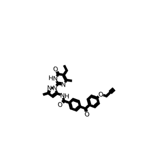 C#CCOc1ccc(C(=O)c2ccc(C(=O)Nc3cc(C)nn3-c3nc(C)c(CC)c(=O)[nH]3)cc2)cc1